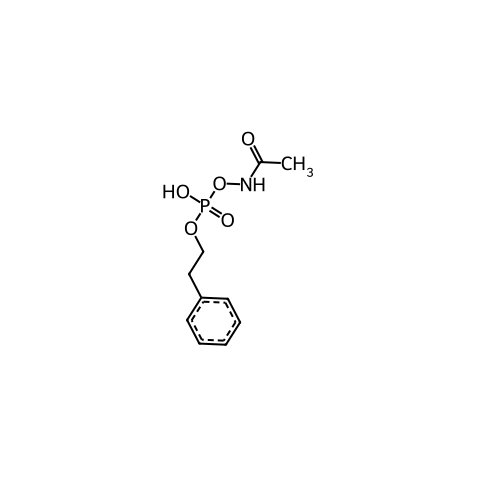 CC(=O)NOP(=O)(O)OCCc1ccccc1